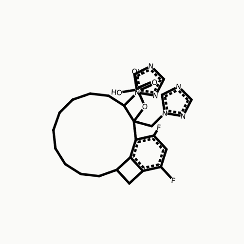 O=P(O)(O)OC1(Cn2cncn2)c2c(F)cc(F)c3c2C(CCCCCCCCCC1n1cncn1)C3